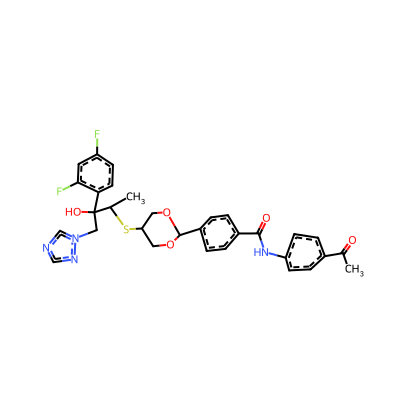 CC(=O)c1ccc(NC(=O)c2ccc(C3OCC(SC(C)C(O)(Cn4cncn4)c4ccc(F)cc4F)CO3)cc2)cc1